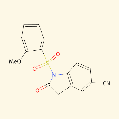 COc1ccccc1S(=O)(=O)N1C(=O)Cc2cc(C#N)ccc21